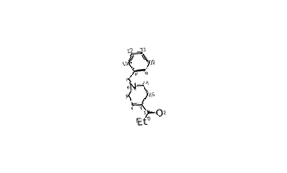 CCC(=O)C1CCN(Cc2ccccc2)CC1